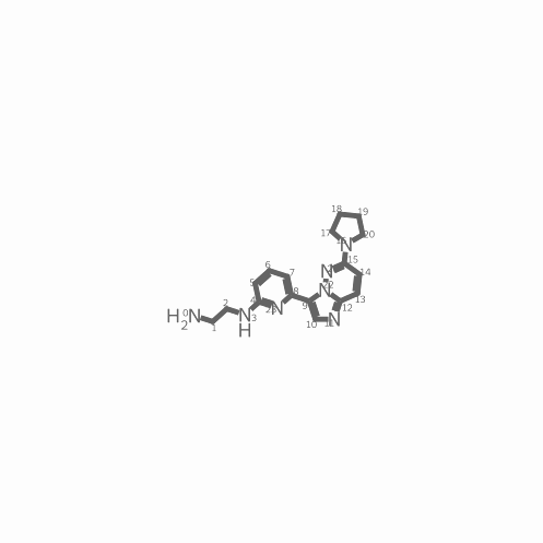 NCCNc1cccc(-c2cnc3ccc(N4CCCC4)nn23)n1